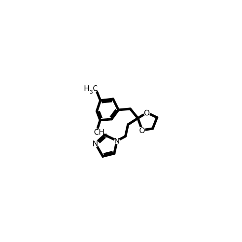 Cc1cc(C)cc(CC2(CCn3ccnc3)OCCO2)c1